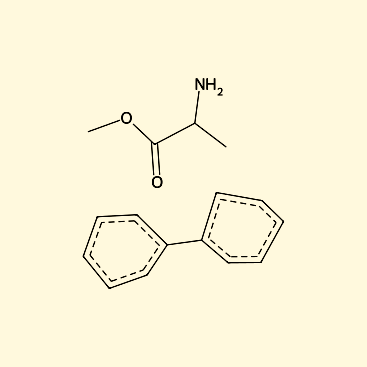 COC(=O)C(C)N.c1ccc(-c2ccccc2)cc1